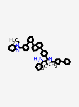 C=C(/N=C(/c1ccc(-c2cccc3c(-c4ccccc4-c4cccc(-c5nc6ccccc6n5CC)c4)cccc23)cc1)C(CC)C(N)c1ccccc1)c1ccc(-c2ccccc2)cc1